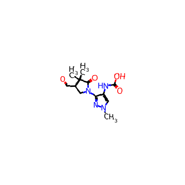 Cn1cc(NC(=O)O)c(N2CC(C=O)C(C)(C)C2=O)n1